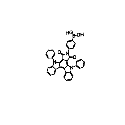 O=C1c2c(c3c(c4ccccc4n3-c3ccccc3)c3c4ccccc4n(-c4ccccc4)c23)C(=O)N1c1ccc(B(O)O)cc1